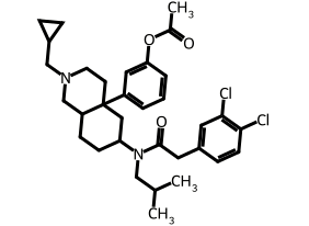 CC(=O)Oc1cccc(C23CCN(CC4CC4)CC2CCC(N(CC(C)C)C(=O)Cc2ccc(Cl)c(Cl)c2)C3)c1